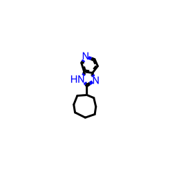 c1cc2nc(C3CCCCCCC3)[nH]c2cn1